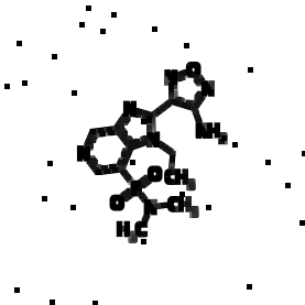 CCn1c(-c2nonc2N)nc2cncc(S(=O)(=O)N(C)C)c21